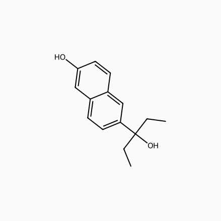 CCC(O)(CC)c1ccc2cc(O)ccc2c1